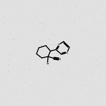 N#CC1(Br)CCCCC1c1cnccn1